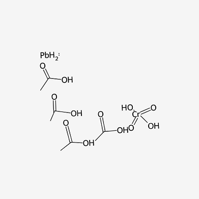 CC(=O)O.CC(=O)O.CC(=O)O.CC(=O)O.[O]=[Cr](=[O])([OH])[OH].[PbH2]